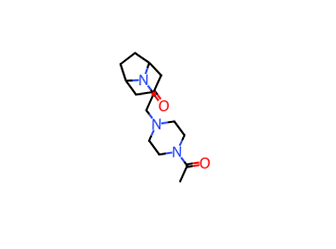 CC(=O)N1CCN(CCN2C3CCC2CC(=O)C3)CC1